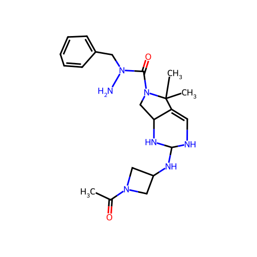 CC(=O)N1CC(NC2NC=C3C(CN(C(=O)N(N)Cc4ccccc4)C3(C)C)N2)C1